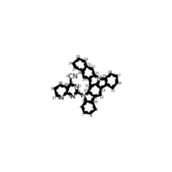 N#Cc1nc(-n2c3ccccc3c3cc4c5ccccc5n5c6cc7ccccc7cc6c(c32)c45)nc2ncccc12